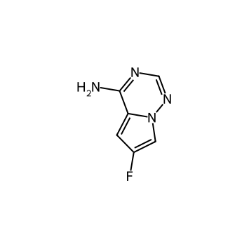 Nc1ncnn2cc(F)cc12